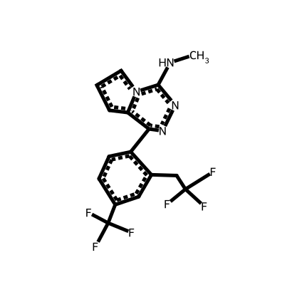 CNc1nnc(-c2ccc(C(F)(F)F)cc2CC(F)(F)F)c2cccn12